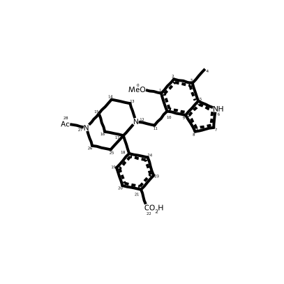 COc1cc(C)c2[nH]ccc2c1CN1CCC2CC1(c1ccc(C(=O)O)cc1)CCN2C(C)=O